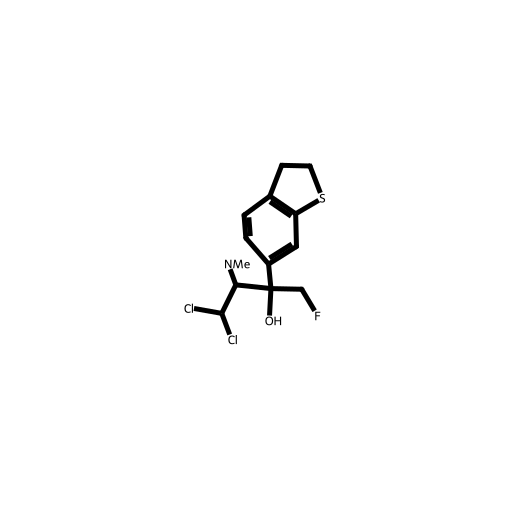 CNC(C(Cl)Cl)C(O)(CF)c1ccc2c(c1)SCC2